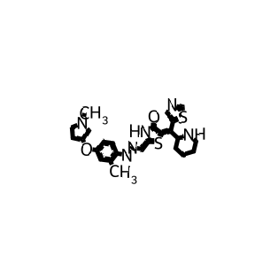 Cc1cc(OC2CCN(C)C2)ccc1N=NC=c1[nH]c(=O)c(=C(c2cncs2)C2CCCCN2)s1